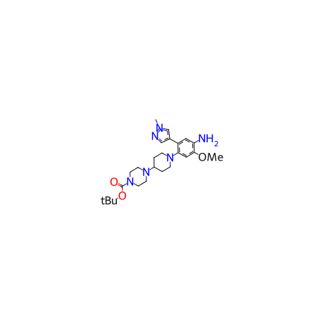 COc1cc(N2CCC(N3CCN(C(=O)OC(C)(C)C)CC3)CC2)c(-c2cnn(C)c2)cc1N